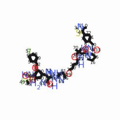 Cc1ncsc1-c1ccc(CNC(=O)[C@@H]2CCCN2C(=O)[C@@H](NC(=O)CCCCOc2ccc(Nc3[nH]nc(-c4ccc(NS(=O)(=O)C(C)F)c(OCc5ccc(F)cc5)c4)c3C(N)=O)nc2)C(C)(C)C)cc1